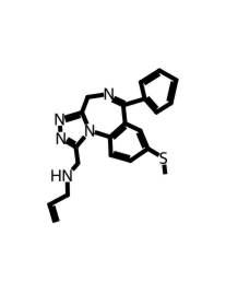 C=CCNCc1nnc2n1-c1ccc(SC)cc1C(c1ccccc1)=NC2